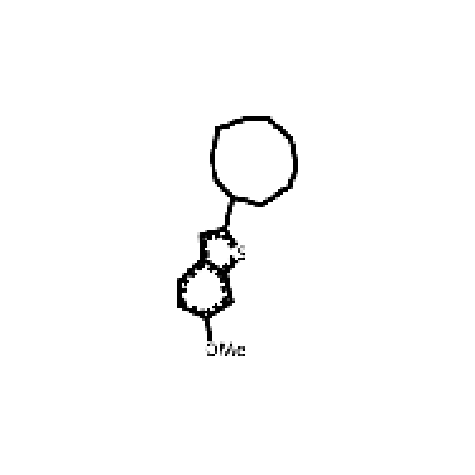 COc1ccc2cc(C3CCCCCCCCC3)sc2c1